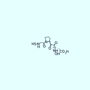 O=C(O)C[C@H](NO)C(=O)C(=O)[C@@H]1CCCN1C(=O)CNS